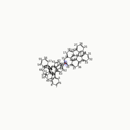 C1=CC(N(c2ccccc2)c2ccc(/C=C/c3ccc4c(c3)C3(c5ccccc5-4)c4ccccc4-c4ccc(/C=C/c5ccc(N(C6=CCCC=C6)c6ccccc6)cc5)cc43)cc2)=CCC1